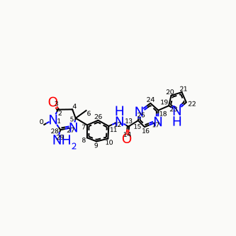 CN1C(=O)CC(C)(c2cccc(NC(=O)c3cnc(-c4ccc[nH]4)cn3)c2)N=C1N